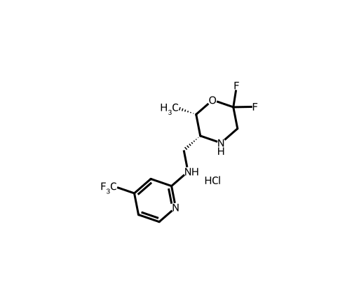 C[C@@H]1OC(F)(F)CN[C@@H]1CNc1cc(C(F)(F)F)ccn1.Cl